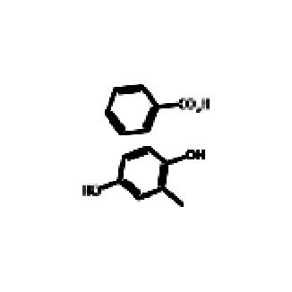 Cc1cc(O)ccc1O.O=C(O)c1ccccc1